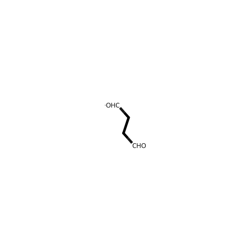 O=[C]CCC=O